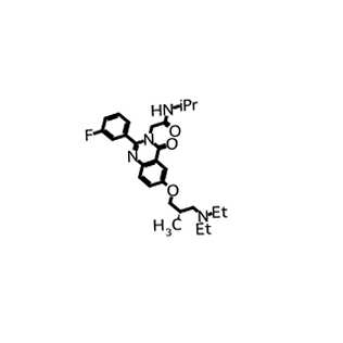 CCN(CC)C[C@H](C)COc1ccc2nc(-c3cccc(F)c3)n(CC(=O)NC(C)C)c(=O)c2c1